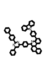 c1ccc(-c2ccc(-c3nc(-c4ccccc4)cc(-c4ccc(-c5nc6c(-c7ccc(-n8c9ccccc9c9ccccc98)cc7)cccc6c6c5ccc5ccccc56)cc4)n3)cc2)cc1